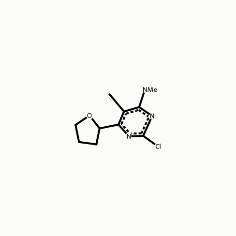 CNc1nc(Cl)nc(C2CCCO2)c1C